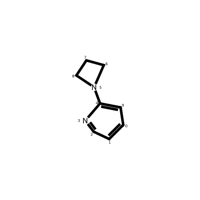 [c]1ccnc(N2CCC2)c1